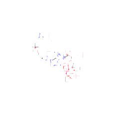 CCC(CC)(CC1O[C@@H](n2cnc3c(NCC(C)(C)CCOC(C)(C)CCCN)ncnc32)[C@H](O)C1O)OP1(=O)OC1(O)CC